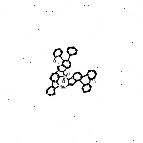 CCC(C)C1=Cc2c(ccc(-c3ccccc3)c2-c2ccccc2C)[CH]1[Zr]([Cl])([Cl])([c]1cccc2c1[SiH2]c1ccccc1-2)[CH]1C(C(C)CC)=Cc2c1ccc(-c1ccccc1)c2-c1ccccc1C